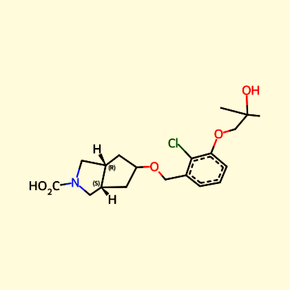 CC(C)(O)COc1cccc(COC2C[C@@H]3CN(C(=O)O)C[C@@H]3C2)c1Cl